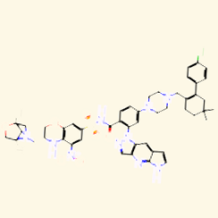 CC1(C)CCC(CN2CCN(c3ccc(C(=O)NS(=O)(=O)c4cc5c(c([N+](=O)[O-])c4)N[C@H](CN4C[C@@H]6C[C@H]4CO6)CO5)c(-n4ncc5nc6[nH]ccc6cc54)c3)CC2)=C(c2ccc(Cl)cc2)C1